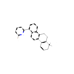 CC1(C)CC=CC2=C1CCc1c2ccc2c(-c3cccc(Br)n3)cccc12